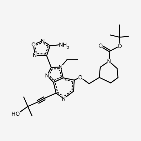 CCn1c(-c2nonc2N)nc2c(C#CC(C)(C)O)ncc(OCC3CCCN(C(=O)OC(C)(C)C)C3)c21